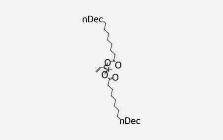 C=C[Si](C)(OC(=O)CCCCCCCCCCCCCCCCC)OC(=O)CCCCCCCCCCCCCCCCC